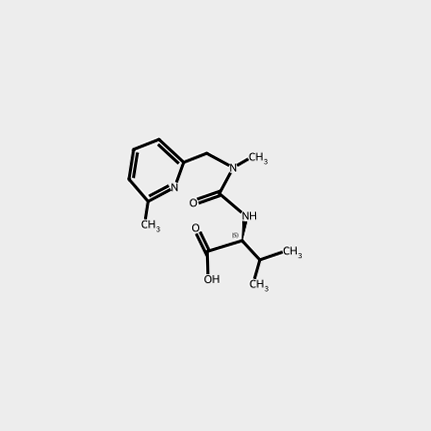 Cc1cccc(CN(C)C(=O)N[C@H](C(=O)O)C(C)C)n1